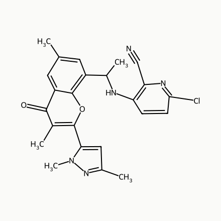 Cc1cc(C(C)Nc2ccc(Cl)nc2C#N)c2oc(-c3cc(C)nn3C)c(C)c(=O)c2c1